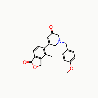 COc1ccc(CN2CC(=O)C=C(c3ccc4c(c3C)COC4=O)C2)cc1